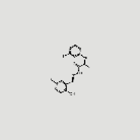 CC(Nc1cccc(F)c1)C(=O)NN=Cc1cc(F)ccc1O